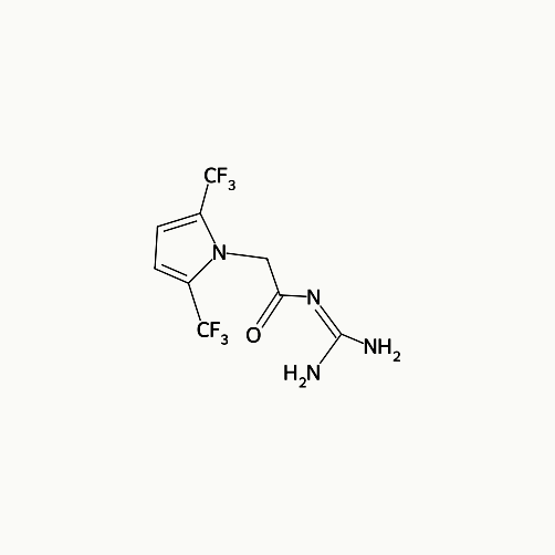 NC(N)=NC(=O)Cn1c(C(F)(F)F)ccc1C(F)(F)F